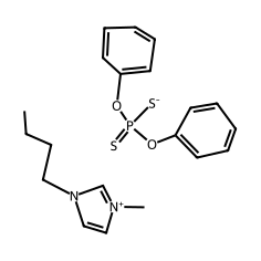 CCCCn1cc[n+](C)c1.S=P([S-])(Oc1ccccc1)Oc1ccccc1